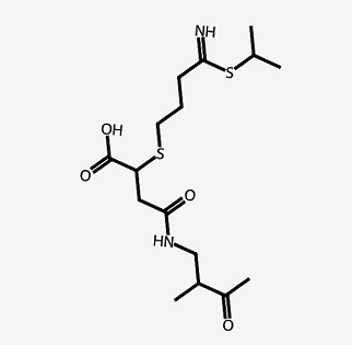 CC(=O)C(C)CNC(=O)CC(SCCCC(=N)SC(C)C)C(=O)O